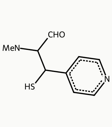 CNC(C=O)C(S)c1ccncc1